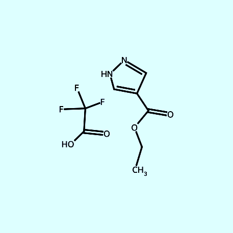 CCOC(=O)c1cn[nH]c1.O=C(O)C(F)(F)F